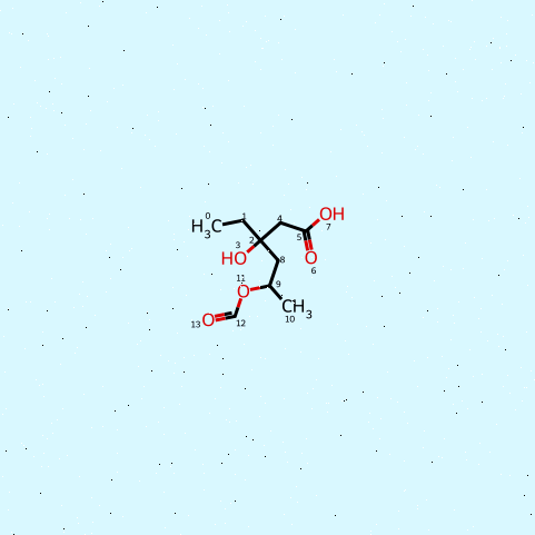 CCC(O)(CC(=O)O)CC(C)OC=O